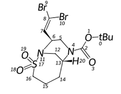 CC(C)(C)OC(=O)N1C[C@H](C=C(Br)Br)N2C[C@H]1CCCS2(=O)=O